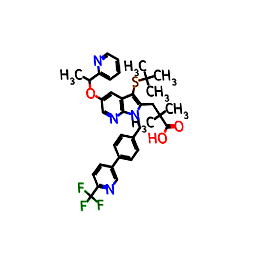 CC(Oc1cnc2c(c1)c(SC(C)(C)C)c(CC(C)(C)C(=O)O)n2Cc1ccc(-c2ccc(C(F)(F)F)nc2)cc1)c1ccccn1